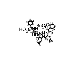 CC(C)COC(=O)N[C@H](C(=O)N[C@@H](CC1CC1)C(=O)NC(CC1CC1)C(=O)C(=O)NCC(=O)N[C@H](C(=O)O)c1ccccc1)C1CCCCC1